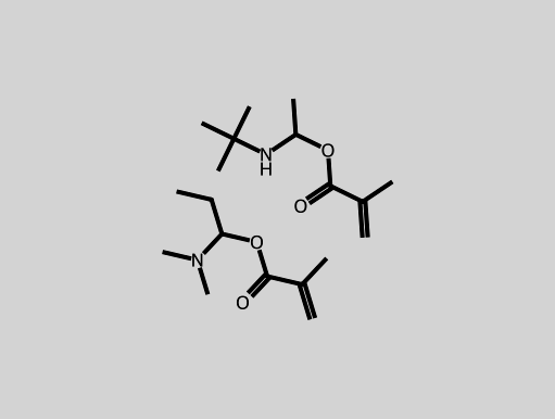 C=C(C)C(=O)OC(C)NC(C)(C)C.C=C(C)C(=O)OC(CC)N(C)C